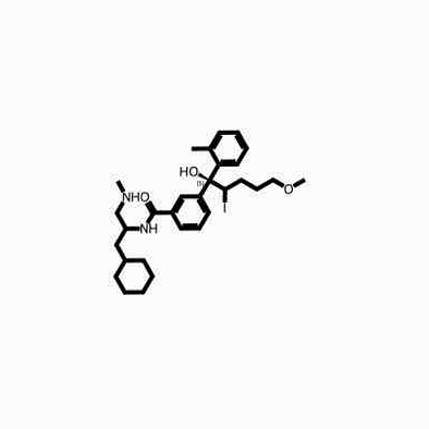 CNCC(CC1CCCCC1)NC(=O)c1cccc([C@](O)(c2ccccc2C)C(I)CCCOC)c1